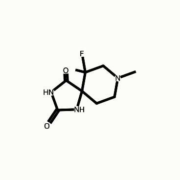 CN1CCC2(NC(=O)NC2=O)C(C)(F)C1